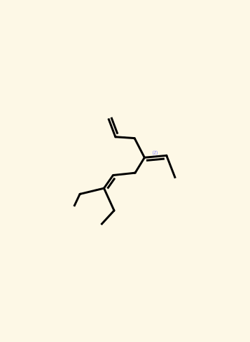 C=CC/C(=C/C)CC=C(CC)CC